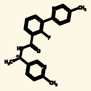 Cc1ccc(-c2cccc(C(=O)N[C@H](C)c3ccc(C)nc3)c2F)nc1